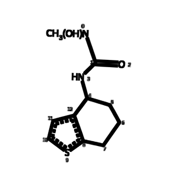 CN(O)C(=O)NC1CCCc2sccc21